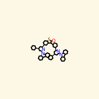 c1ccc(-c2cc(-c3ccc4oc5sc6ccc(-c7cc(-c8ccccc8)cc(-n8c9ccccc9c9ccccc98)n7)cc6c5c4c3)nc(-n3c4ccccc4c4ccccc43)c2)cc1